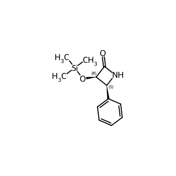 C[Si](C)(C)O[C@H]1C(=O)N[C@H]1c1ccccc1